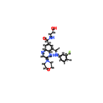 Cc1ccc(NC(C)c2cc(C(=O)NCCO)cc3ncc(N4CCOCC4)nc23)cc1F